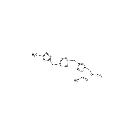 COCc1nn(Cc2ccc(Cn3cc(C)cn3)cc2)cc1C(=O)O